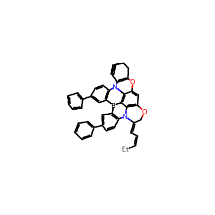 CC/C=C\C=C1/COc2cc3c4c5c2N1c1ccc(-c2ccccc2)cc1B5c1cc(-c2ccccc2)ccc1N4C1=C(CCC#C1)O3